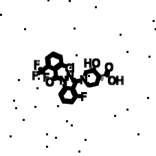 O=C(O)[C@@H]1CCN(c2nn(C(=O)c3c(Cl)cccc3C(F)(F)F)c3cccc(F)c23)C[C@@H]1O